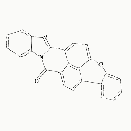 O=c1c2ccc3c4ccccc4oc4ccc(c2c43)c2nc3ccccc3n12